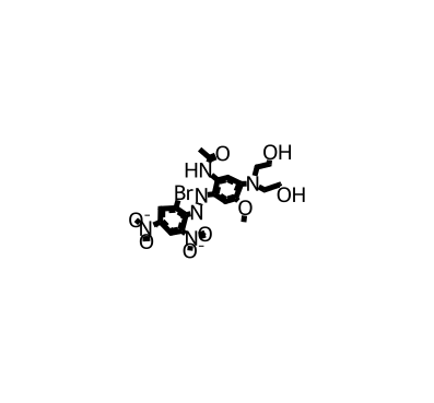 COc1cc(N=Nc2c(Br)cc([N+](=O)[O-])cc2[N+](=O)[O-])c(NC(C)=O)cc1N(CCO)CCO